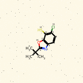 CC(C)(C)c1nc2ccc(Cl)c(S)c2o1